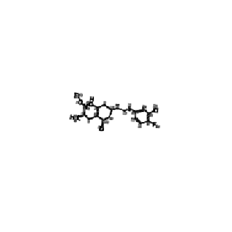 CCON=C(C)CC1=C(O)CC(CCSc2ccc(F)c(Cl)c2)CC1=O